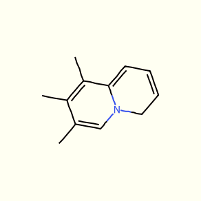 CC1=CN2CC=CC=C2C(C)=C1C